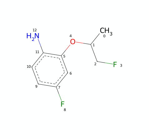 CC(CF)Oc1cc(F)ccc1N